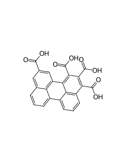 O=C(O)c1cc2cccc3c4cccc5c(C(=O)O)c(C(=O)O)c(C(=O)O)c(c(c1)c23)c54